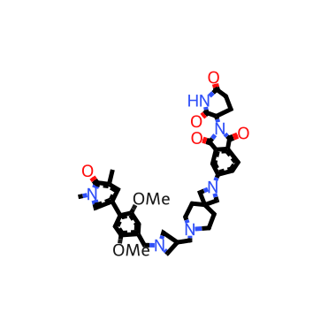 COc1cc(-c2cc(C)c(=O)n(C)c2)c(OC)cc1CN1CC(CN2CCC3(CC2)CN(c2ccc4c(c2)C(=O)N(C2CCC(=O)NC2=O)C4=O)C3)C1